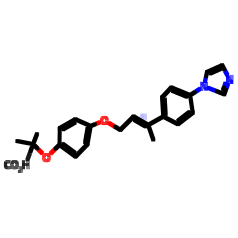 C/C(=C\COc1ccc(OC(C)(C)C(=O)O)cc1)c1ccc(-n2ccnc2)cc1